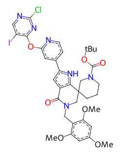 COc1cc(OC)c(CN2CC3(CCCN(C(=O)OC(C)(C)C)C3)c3[nH]c(-c4ccnc(Oc5nc(Cl)ncc5I)c4)cc3C2=O)c(OC)c1